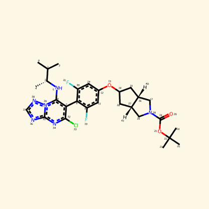 CC(C)[C@@H](C)Nc1c(-c2c(F)cc(OC3C[C@@H]4CN(C(=O)OC(C)(C)C)C[C@@H]4C3)cc2F)c(Cl)nc2ncnn12